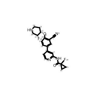 N#Cc1cc(-c2ccnc(NC(=O)C3(F)CC3)c2)ccc1O[C@H]1CCNC[C@H]1F